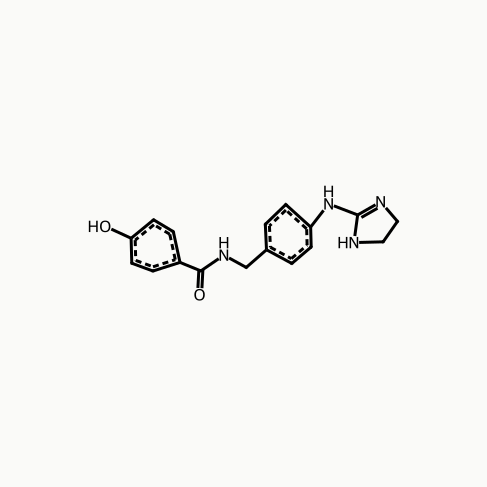 O=C(NCc1ccc(NC2=NCCN2)cc1)c1ccc(O)cc1